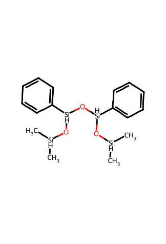 C[SiH](C)O[SiH](O[SiH](O[SiH](C)C)c1ccccc1)c1ccccc1